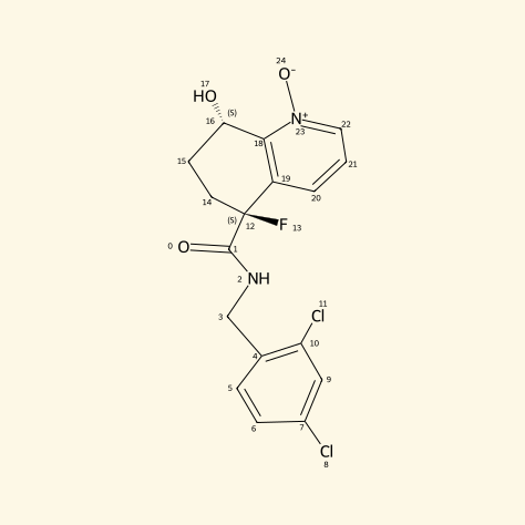 O=C(NCc1ccc(Cl)cc1Cl)[C@]1(F)CC[C@H](O)c2c1ccc[n+]2[O-]